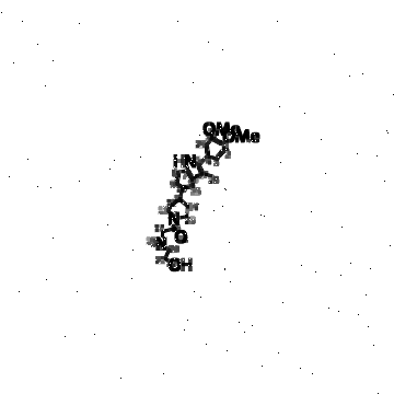 COc1ccc(-c2[nH]c3ccc(C4CCN(C(=O)CN(C)CCO)CC4)cc3c2C)cc1OC